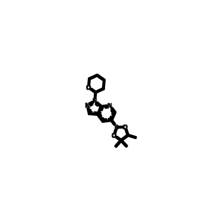 CC1OB(c2cnc3c(cnn3C3CCCCO3)c2)OC1(C)C